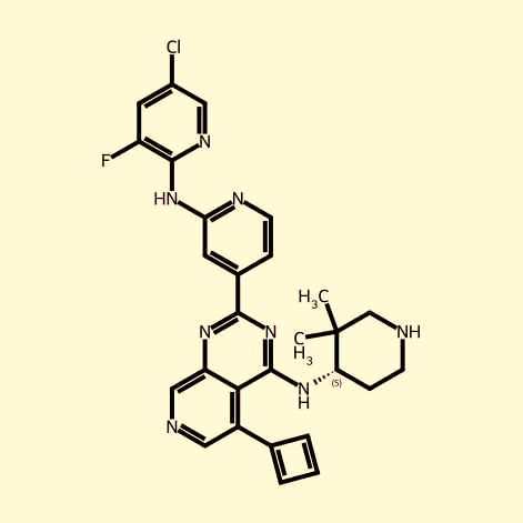 CC1(C)CNCC[C@@H]1Nc1nc(-c2ccnc(Nc3ncc(Cl)cc3F)c2)nc2cncc(C3=CC=C3)c12